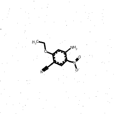 CCOc1cc(N)c([N+](=O)[O-])cc1C#N